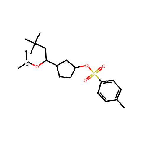 Cc1ccc(S(=O)(=O)OC2CCC(C(CC(C)(C)C)O[SiH](C)C)C2)cc1